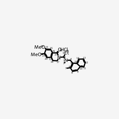 CCC(N(C)Cc1c(C)ccc2ccccc12)N1CCc2cc(OC)c(OC)cc2C1=O.Cl